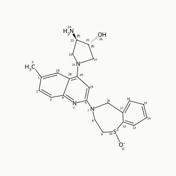 Cc1ccc2nc(N3CC[S+]([O-])c4ccccc4C3)cc(N3C[C@@H](N)[C@H](O)C3)c2c1